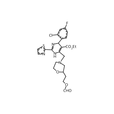 CCOC(=O)C1=C(CN2CCOC(CCOC=O)C2)NC(c2nccs2)=NC1c1ccc(F)cc1Cl